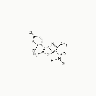 CCN(CC)C(=O)c1c(C)nn2c(-c3ccc(Cl)cc3Cl)c(C)oc12